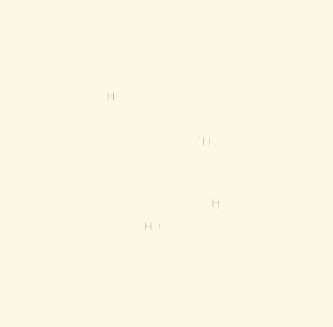 C.C=C(C)C1CC=C(C)CC1